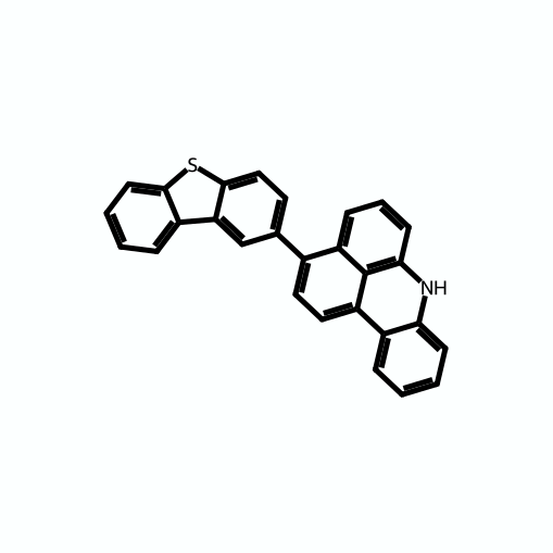 c1ccc2c(c1)Nc1cccc3c(-c4ccc5sc6ccccc6c5c4)ccc-2c13